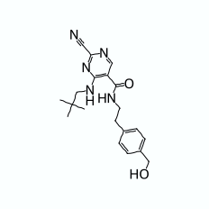 CC(C)(C)CNc1nc(C#N)ncc1C(=O)NCCc1ccc(CO)cc1